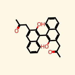 CC(=O)Cc1cc2ccccc2c(-c2c(O)c(CC(C)=O)cc3ccccc23)c1O